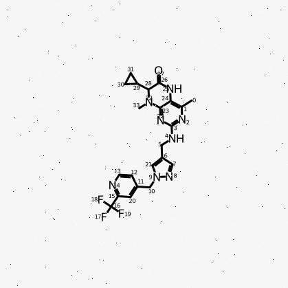 Cc1nc(NCc2cnn(Cc3ccnc(C(F)(F)F)c3)c2)nc2c1NC(=O)C(C1CC1)N2C